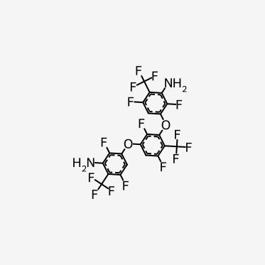 Nc1c(F)c(Oc2cc(F)c(C(F)(F)F)c(Oc3cc(F)c(C(F)(F)F)c(N)c3F)c2F)cc(F)c1C(F)(F)F